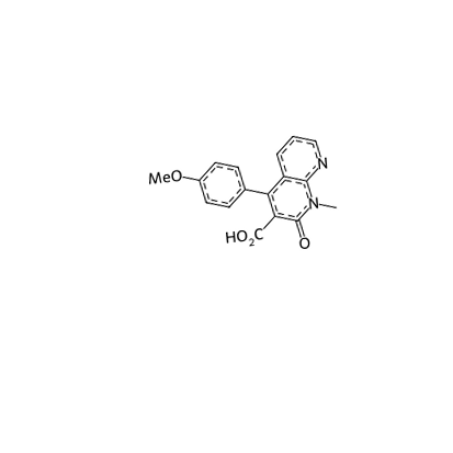 COc1ccc(-c2c(C(=O)O)c(=O)n(C)c3ncccc23)cc1